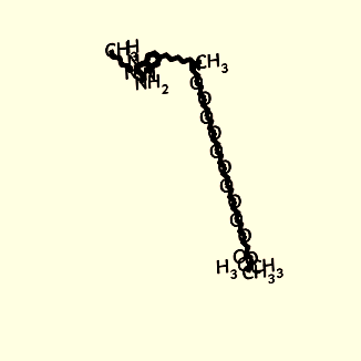 CCCCc1nc2c(N)nc3cc(CCCCCN(C)CCOCCOCCOCCOCCOCCOCCOCCOCCOCCOCCC(=O)OC(C)(C)C)ccc3c2[nH]1